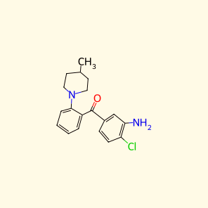 CC1CCN(c2ccccc2C(=O)c2ccc(Cl)c(N)c2)CC1